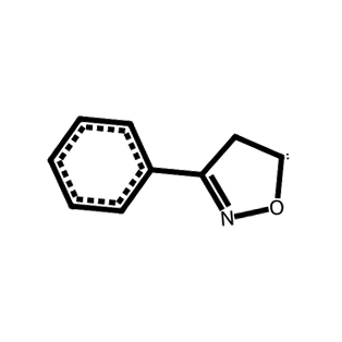 [C]1CC(c2ccccc2)=NO1